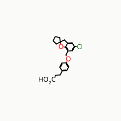 O=C(O)CCc1ccc(OCc2cc(Cl)cc3c2OC2(CCCC2)C3)cc1